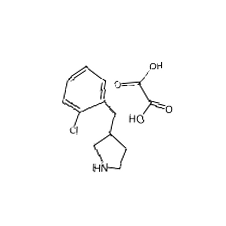 Clc1ccccc1CC1CCNC1.O=C(O)C(=O)O